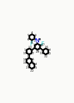 CN(c1ccccc1F)c1cc(-c2cccc(-c3ccc4ccccc4c3)c2)cc(-c2ccccc2)c1F